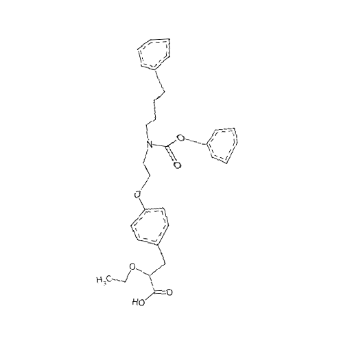 CCOC(Cc1ccc(OCCN(CCCCc2ccccc2)C(=O)Oc2ccccc2)cc1)C(=O)O